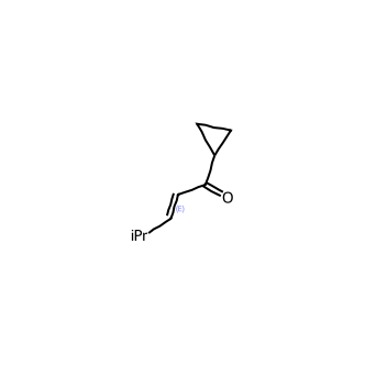 CC(C)/C=C/C(=O)C1CC1